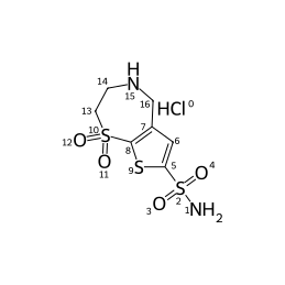 Cl.NS(=O)(=O)c1cc2c(s1)S(=O)(=O)CCNC2